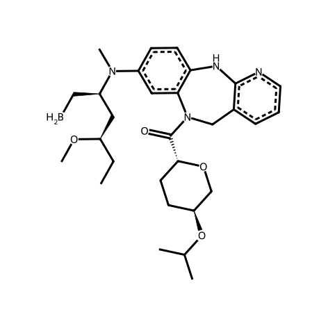 BC[C@H](C[C@@H](CC)OC)N(C)c1ccc2c(c1)N(C(=O)[C@H]1CC[C@H](OC(C)C)CO1)Cc1cccnc1N2